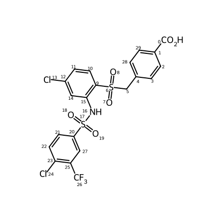 O=C(O)c1ccc(CS(=O)(=O)c2ccc(Cl)cc2NS(=O)(=O)c2ccc(Cl)c(C(F)(F)F)c2)cc1